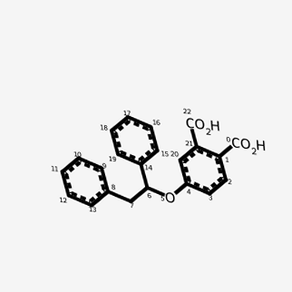 O=C(O)c1ccc(OC(Cc2ccccc2)c2ccccc2)cc1C(=O)O